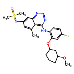 COC1CCCC(Oc2cc(F)ccc2Nc2ncnc3cc(N=S(C)(C)=O)cc(C)c23)C1